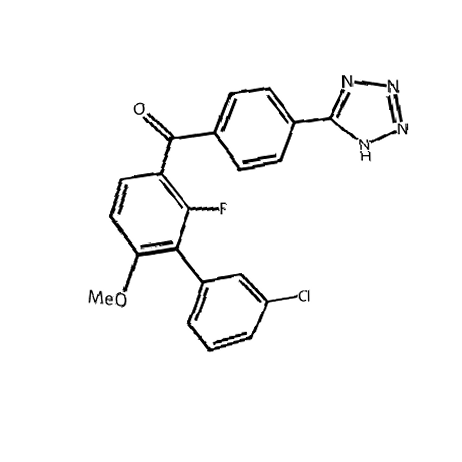 COc1ccc(C(=O)c2ccc(-c3nnn[nH]3)cc2)c(F)c1-c1cccc(Cl)c1